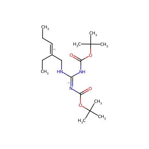 CC/C=C(\CC)CN/C(=N/C(=O)OC(C)(C)C)NC(=O)OC(C)(C)C